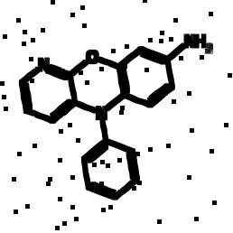 Nc1ccc2c(c1)Oc1ncccc1N2c1ccccc1